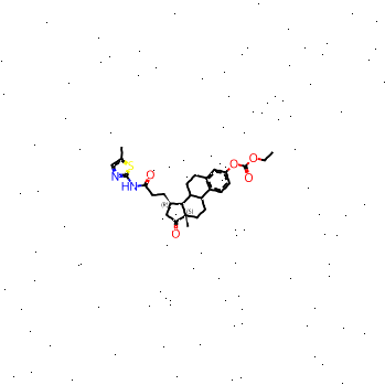 CCOC(=O)Oc1ccc2c(c1)CCC1C2CC[C@]2(C)C(=O)C[C@@H](CCC(=O)Nc3ncc(C)s3)C12